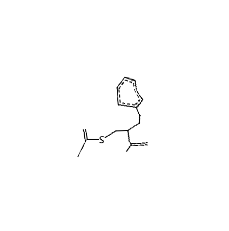 C=C(C)SCC(Cc1ccccc1)C(=C)C